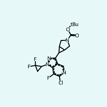 CC(C)(C)OC(=O)N1CC2C(C1)C2c1nn(C2CC2(F)F)c2c(F)c(Cl)ncc12